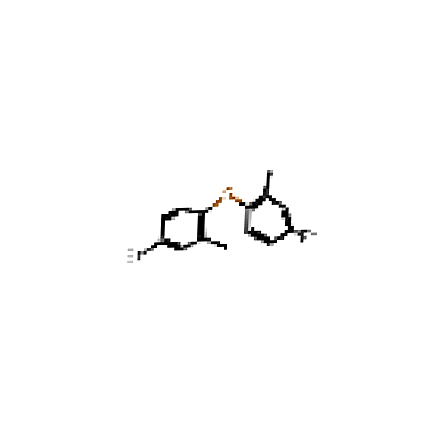 CCc1ccc(Sc2ccc(CC)cc2C)c(C)c1